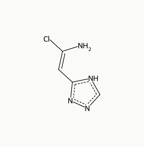 N/C(Cl)=C\c1nnc[nH]1